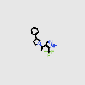 C=C(c1cn[nH]c1C(F)(F)F)N1CCC(c2ccccc2)C1